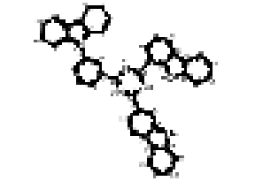 C1=Cc2c(c3c(n2-c2cccc(-c4nc(-c5ccc6c(c5)oc5ccccc56)nc(-c5cccc6c5oc5ccccc56)n4)c2)=CCCC=3)CC1